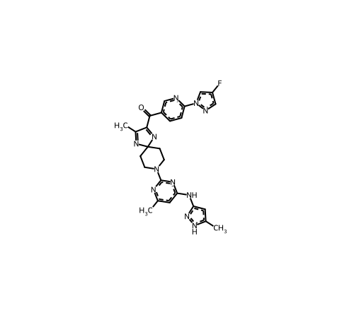 CC1=NC2(CCN(c3nc(C)cc(Nc4cc(C)[nH]n4)n3)CC2)N=C1C(=O)c1ccc(-n2cc(F)cn2)nc1